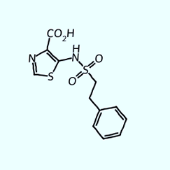 O=C(O)c1ncsc1NS(=O)(=O)CCc1ccccc1